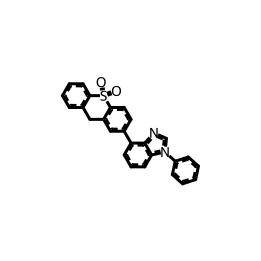 O=S1(=O)c2ccccc2Cc2cc(-c3cccc4c3ncn4-c3ccccc3)ccc21